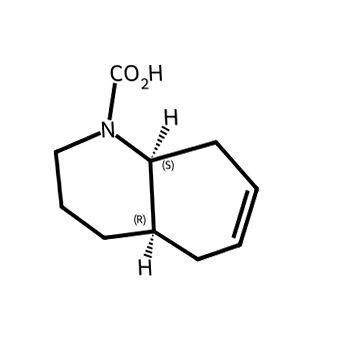 O=C(O)N1CCC[C@@H]2CC=CC[C@@H]21